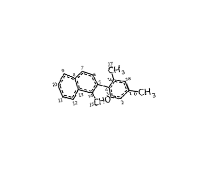 Cc1ccc(-c2ccc3ccccc3c2C=O)c(C)c1